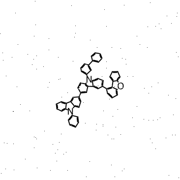 c1ccc(-c2cccc(-n3c4ccc(-c5ccc6c(c5)c5ccccc5n6-c5ccccc5)cc4c4cc(-c5cccc6oc7ccccc7c56)ccc43)c2)cc1